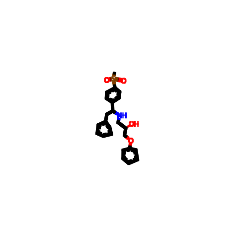 CS(=O)(=O)c1ccc(C(Cc2ccccc2)NC[C@H](O)COc2ccccc2)cc1